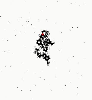 CCC1C[C@]1(NC(=O)[C@@H]1C[C@@H](Oc2cc(-c3csc(NC(C)C)n3)nc3cc(OC)ccc23)CN1C(=O)[C@@H](NC(=O)N[C@H](CN1CCCN(C)S1(=O)=O)C(C)(C)C)C1CCCCC1)C(=O)O